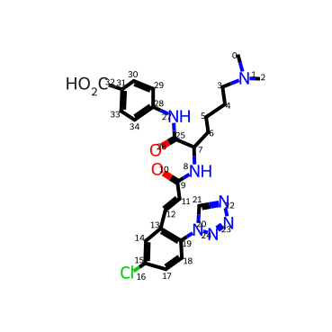 CN(C)CCCCC(NC(=O)C=Cc1cc(Cl)ccc1-n1cnnn1)C(=O)Nc1ccc(C(=O)O)cc1